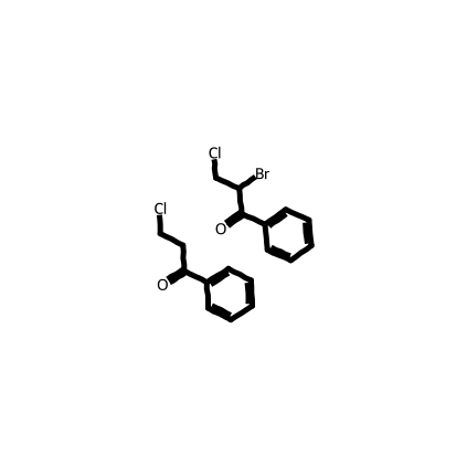 O=C(CCCl)c1ccccc1.O=C(c1ccccc1)C(Br)CCl